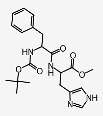 COC(=O)C(Cc1c[nH]cn1)NC(=O)C(Cc1ccccc1)NC(=O)OC(C)(C)C